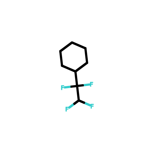 FC(F)C(F)(F)C1CCCCC1